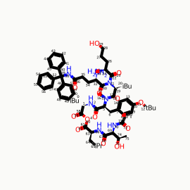 CC[C@H](C)[C@H](NC(=O)[C@H](Cc1ccc(OC(C)(C)C)cc1)N(C)C(=O)[C@H]([C@@H](C)CC)N(C(=O)[C@@H](N)CCCO)C(=O)[C@@H](N)CCC(=O)NC(c1ccccc1)(c1ccccc1)c1ccccc1)C(=O)OC(=O)[C@H](CC(C)C)NC(=O)[C@@H](NC(=O)C(C)C)[C@@H](C)O